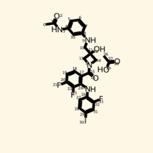 CC(=O)Nc1cccc(NCC2(O)CN(C(=O)c3ccc(F)c(F)c3Nc3ccc(I)cc3F)C2)c1.CC(=O)O